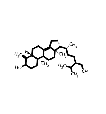 C=C1C(O)CC[C@]2(C)C3CC[C@@]4(C)C(=C3CC[C@@H]12)CC[C@@H]4[C@H](C)CCC(CC)C(C)C